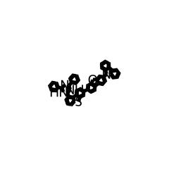 c1ccc(C2=NC(c3ccccc3)NC(c3cccc4sc5cc(-c6ccc7c(c6)oc6cc(-n8c9ccccc9c9ccccc98)ccc67)ccc5c34)N2)cc1